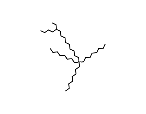 CCCCCCCC[N+](CCCCCCCC)(CCCCCCCC)CCCCCCCCCC(CC)CCCC